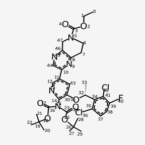 CCOC(=O)N1CCc2nc(-c3cnc(N(C(=O)OC(C)(C)C)C(=O)OC(C)(C)C)c(O[C@H](C)c4c(Cl)ccc(F)c4Cl)c3)cnc2C1